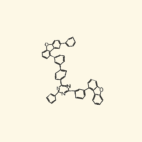 c1ccc(-c2ccc3oc4cccc(-c5cccc(-c6ccc(-c7nc(-c8ccccc8)nc(-c8cccc(-c9cccc%10oc%11ccccc%11c9%10)c8)n7)cc6)c5)c4c3c2)cc1